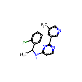 CC(Nc1ccnc(-c2cncc(C(F)(F)F)c2)n1)c1ccccc1F